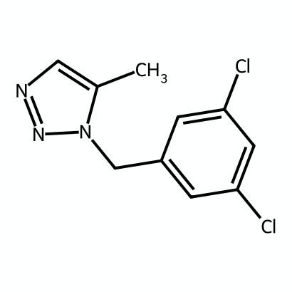 Cc1cnnn1Cc1cc(Cl)cc(Cl)c1